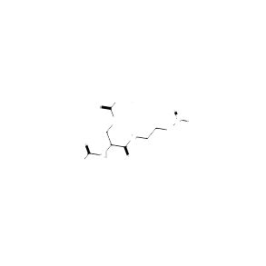 CC(=O)NC(CSC(C)=O)C(=O)NCCO[N+](=O)[O-]